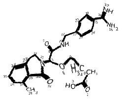 CC(=O)O.CCOC(C(=O)NCc1ccc(C(=N)N)cc1)N1Cc2cccc(C)c2C1=O